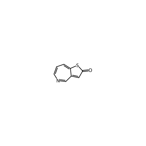 O=c1cc2cncccc-2s1